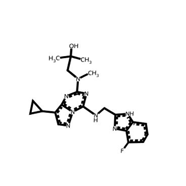 CN(CC(C)(C)O)c1nc(NCc2nc3c(F)cccc3[nH]2)n2ncc(C3CC3)c2n1